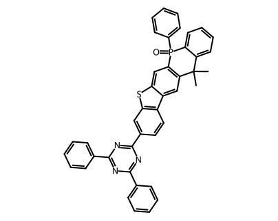 CC1(C)c2ccccc2P(=O)(c2ccccc2)c2cc3sc4cc(-c5nc(-c6ccccc6)nc(-c6ccccc6)n5)ccc4c3cc21